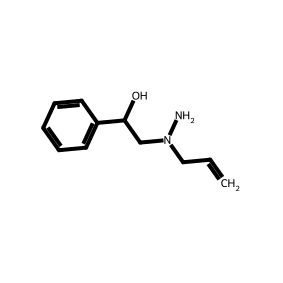 C=CCN(N)CC(O)c1ccccc1